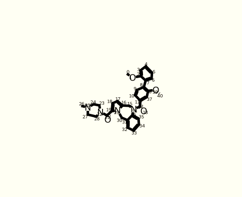 COc1ccccc1-c1ccc(C(=O)N2Cc3ccc(C(=O)N4CCN(C)CC4)n3Cc3ccccc32)cc1OC